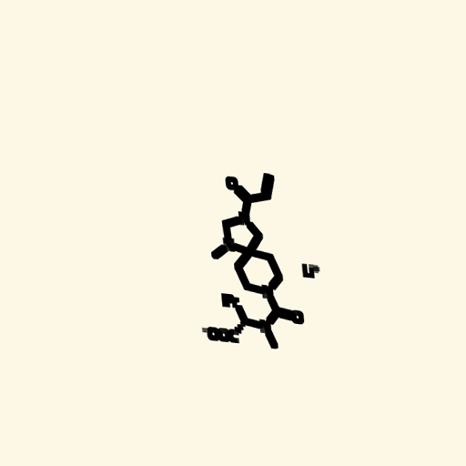 C=CC(=O)N1CN(C)C2(CCN(C(=O)N(C)[C@H](C(=O)[O-])C(C)C)CC2)C1.[Li+]